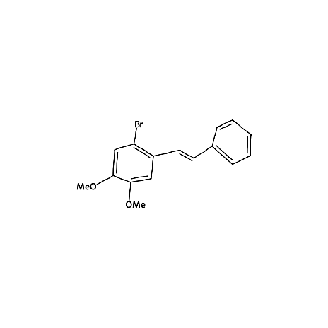 COc1cc(Br)c(C=Cc2ccccc2)cc1OC